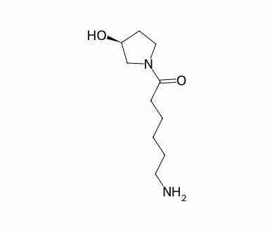 NCCCCCC(=O)N1CC[C@H](O)C1